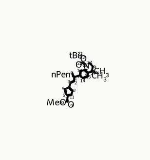 CCCCCC(/C=C/c1ccc(C(=O)OC)cc1)c1ccc2c(c1)N(C(=O)OC(C)(C)C)CCC2(C)C